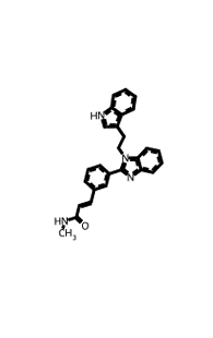 CNC(=O)/C=C/c1cccc(-c2nc3ccccc3n2CCc2c[nH]c3ccccc23)c1